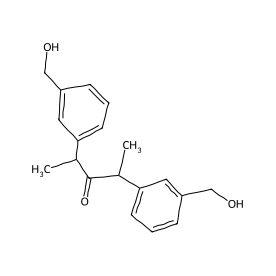 CC(C(=O)C(C)c1cccc(CO)c1)c1cccc(CO)c1